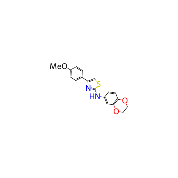 COc1ccc(-c2csc(Nc3ccc4c(c3)OCCO4)n2)cc1